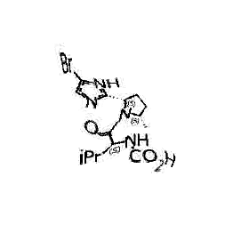 CC(C)[C@H](NC(=O)O)C(=O)N1[C@@H](C)CC[C@H]1c1ncc(Br)[nH]1